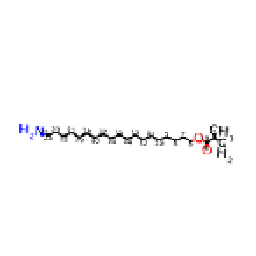 C=C(C)C(=O)OCCCCCCCCCCCCCCCCCCCN